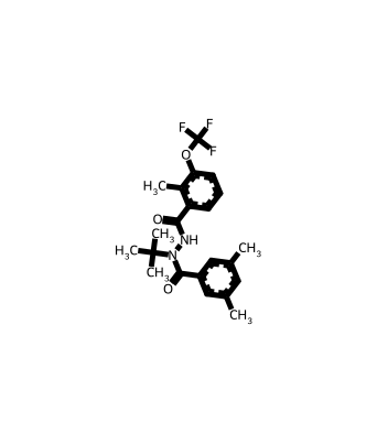 Cc1cc(C)cc(C(=O)N(NC(=O)c2cccc(OC(F)(F)F)c2C)C(C)(C)C)c1